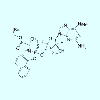 CNc1nc(N)nc2c1ncn2[C@@H]1O[C@]2(F)C(O[P@@](=S)(N[C@@H](C)C(=O)OCC(C)(C)C)Oc3cccc4ccccc34)[C@]2(O)[C@@]1(C)F